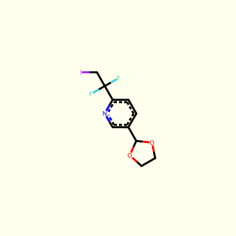 FC(F)(CI)c1ccc(C2OCCO2)cn1